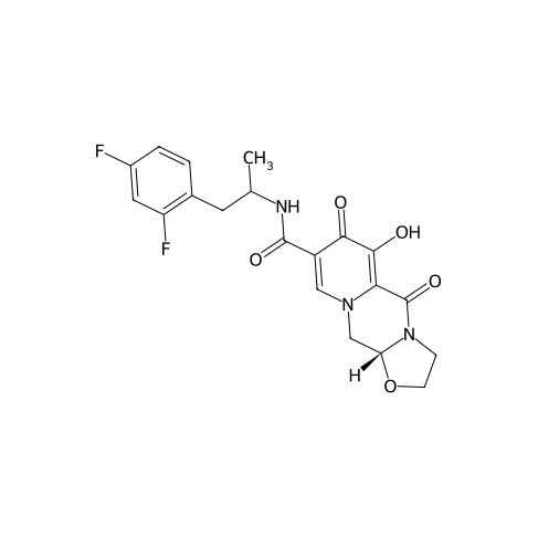 CC(Cc1ccc(F)cc1F)NC(=O)c1cn2c(c(O)c1=O)C(=O)N1CCO[C@@H]1C2